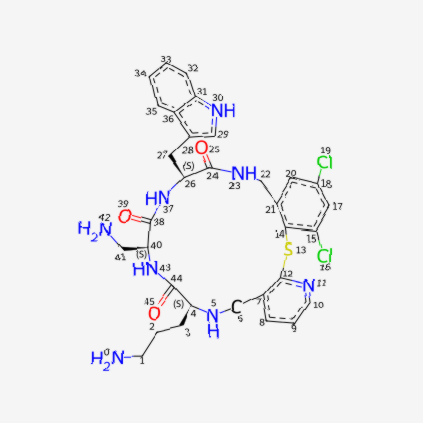 NCCC[C@@H]1NCc2cccnc2Sc2c(Cl)cc(Cl)cc2CNC(=O)[C@H](Cc2c[nH]c3ccccc23)NC(=O)[C@H](CN)NC1=O